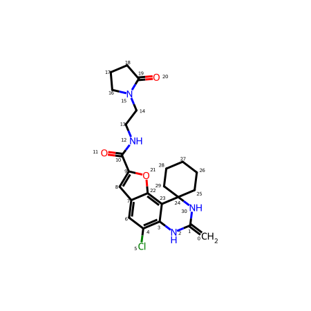 C=C1Nc2c(Cl)cc3cc(C(=O)NCCN4CCCC4=O)oc3c2C2(CCCCC2)N1